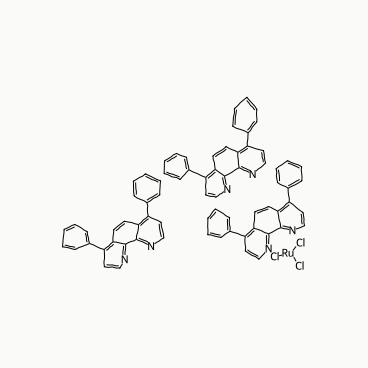 [Cl][Ru]([Cl])[Cl].c1ccc(-c2ccnc3c2ccc2c(-c4ccccc4)ccnc23)cc1.c1ccc(-c2ccnc3c2ccc2c(-c4ccccc4)ccnc23)cc1.c1ccc(-c2ccnc3c2ccc2c(-c4ccccc4)ccnc23)cc1